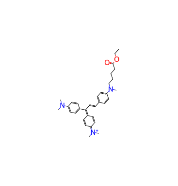 CCOC(=O)CCCCN(C)c1ccc(/C=C/C(=C2C=CC(=[N+](C)C)C=C2)c2ccc(N(C)C)cc2)cc1